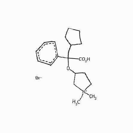 C[N+]1(C)CCC(OC(C(=O)O)(c2ccccc2)C2CCCC2)C1.[Br-]